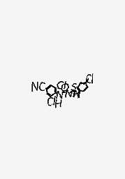 N#Cc1cc(Cl)c(NC(=O)Nc2nc3ccc(Cl)cc3s2)c(Cl)c1